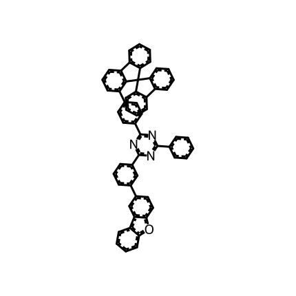 c1ccc(-c2nc(-c3ccc(-c4cccc5c4C4(c6ccccc6-c6ccccc64)c4ccccc4-5)cc3)nc(-c3cccc(-c4ccc5oc6ccccc6c5c4)c3)n2)cc1